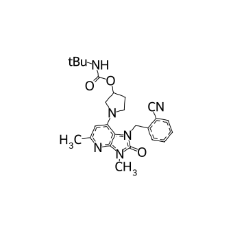 Cc1cc(N2CCC(OC(=O)NC(C)(C)C)C2)c2c(n1)n(C)c(=O)n2Cc1ccccc1C#N